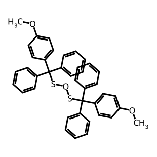 COc1ccc(C(SOSC(c2ccccc2)(c2ccccc2)c2ccc(OC)cc2)(c2ccccc2)c2ccccc2)cc1